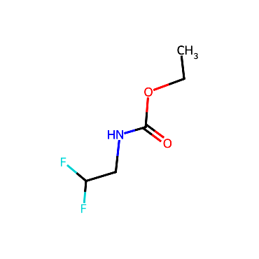 CCOC(=O)NCC(F)F